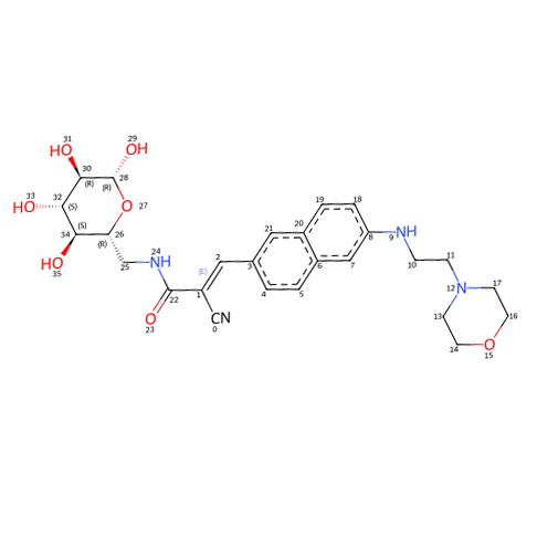 N#C/C(=C\c1ccc2cc(NCCN3CCOCC3)ccc2c1)C(=O)NC[C@H]1O[C@@H](O)[C@H](O)[C@@H](O)[C@@H]1O